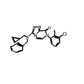 Cc1c(Cl)cccc1-n1ccn2c(N(Cc3ccccc3)CC3CC3)nnc2c1=O